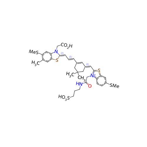 CSc1ccc2c(c1)sc(/C=C1C=C(/C=C/C=C3\Sc4cc(C)c(SC)cc4N3CC(=O)O)CC(C)(C)C/1)[n+]2CC(=O)NCCCS(=O)(=O)O